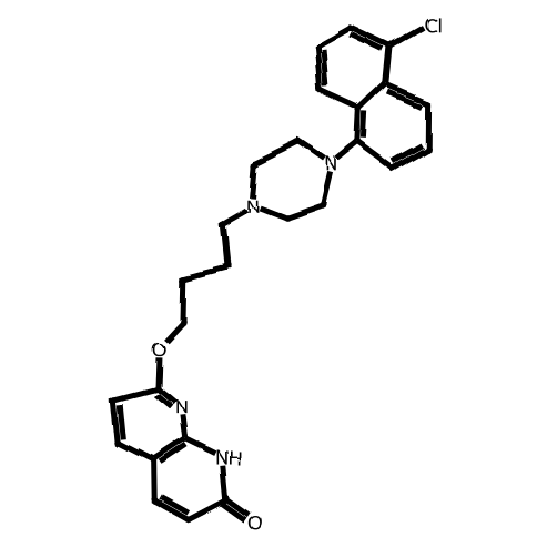 O=c1ccc2ccc(OCCCCN3CCN(c4cccc5c(Cl)cccc45)CC3)nc2[nH]1